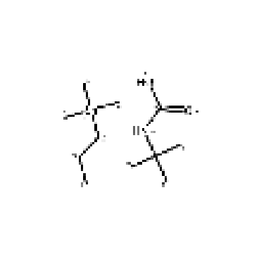 CC(C)(C)NC(=O)O.CC[CH2][Sn]([CH3])([CH3])[CH3]